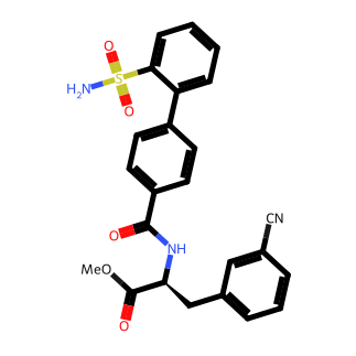 COC(=O)[C@H](Cc1cccc(C#N)c1)NC(=O)c1ccc(-c2ccccc2S(N)(=O)=O)cc1